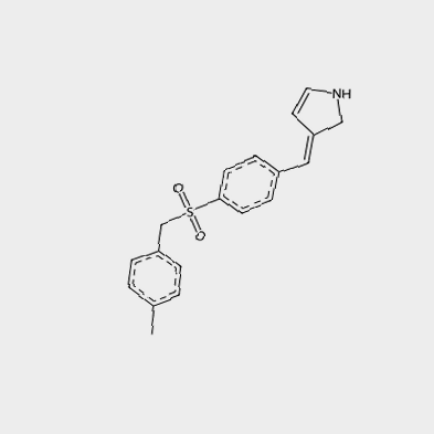 Cc1ccc(CS(=O)(=O)c2ccc(/C=C3\C=CNC3)cc2)cc1